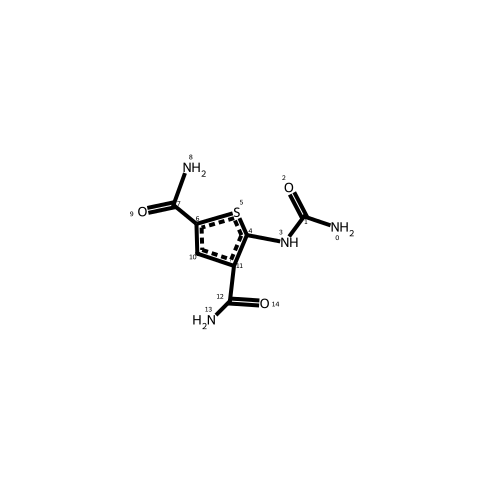 NC(=O)Nc1sc(C(N)=O)cc1C(N)=O